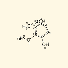 CCCOc1ccccc1O.CS(=O)(=O)O